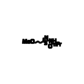 CCCC(=O)Nc1ncc(CCCOC)s1